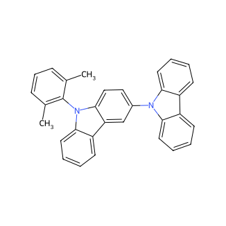 Cc1cccc(C)c1-n1c2ccccc2c2cc(-n3c4ccccc4c4ccccc43)ccc21